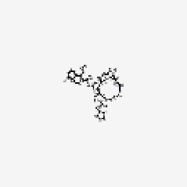 COCC1c2cccc(F)c2CCN1C(=O)O[C@@H]1CC2C(=O)N[C@]3(C(=O)O)C[C@H]3/C=C\CCCCC[C@H](NC(=O)OC3CCCC3)C(=O)N2C1